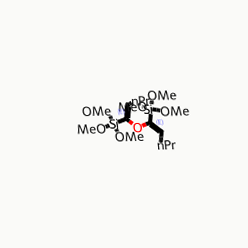 CCC/C=C(\O/C(=C\CCC)[Si](OC)(OC)OC)[Si](OC)(OC)OC